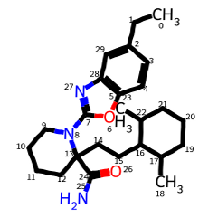 CCc1ccc2oc(N3CCCCC3(CCC3C(C)CCCC3C)C(N)=O)nc2c1